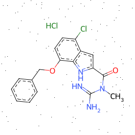 CN(C(=N)N)C(=O)c1cc2c(Cl)ccc(OCc3ccccc3)c2[nH]1.Cl